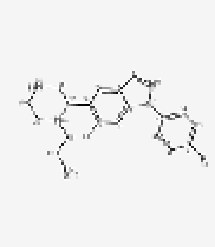 Cc1cc2c(cnn2-c2ccc(F)cc2)cc1[C@@H]1CNCCN1CCC(F)(F)F